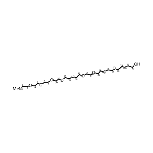 CNCCOCCOCCOCCOCCOCCOCCOCCOCCOCCOCCO